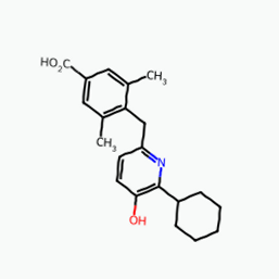 Cc1cc(C(=O)O)cc(C)c1Cc1ccc(O)c(C2CCCCC2)n1